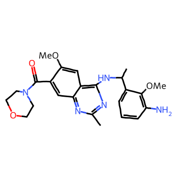 COc1cc2c(NC(C)c3cccc(N)c3OC)nc(C)nc2cc1C(=O)N1CCOCC1